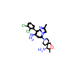 Cc1cn2c(N3CCC4(CC3)COC(C)[C@H]4N)cc(N)c(-c3cccc(Cl)c3Cl)c2n1